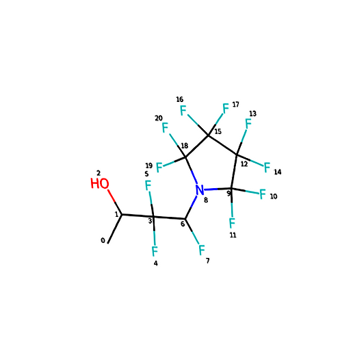 CC(O)C(F)(F)C(F)N1C(F)(F)C(F)(F)C(F)(F)C1(F)F